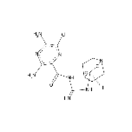 N=C(NC(=O)c1nc(Cl)c(N)nc1N)N[C@@H]1CN2CCC1CC2